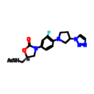 CC(=O)NC[C@H]1CN(c2ccc(N3CCC(n4ccnn4)C3)c(F)c2)C(=O)O1